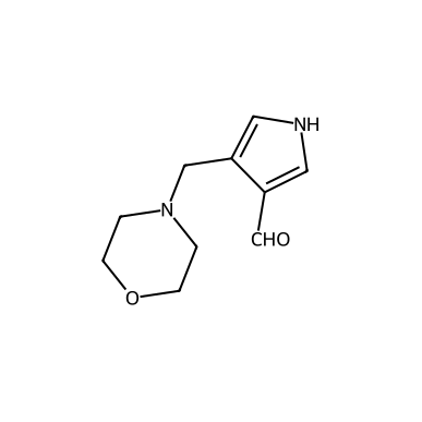 O=Cc1c[nH]cc1CN1CCOCC1